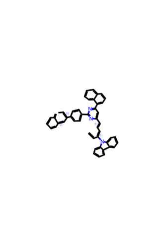 C=C/C(=C\C=C\c1cc(-c2cccc3ccccc23)nc(-c2ccc(C(/C=c3/ccccc3=C)=C/C)cc2)n1)n1c2ccccc2c2ccccc21